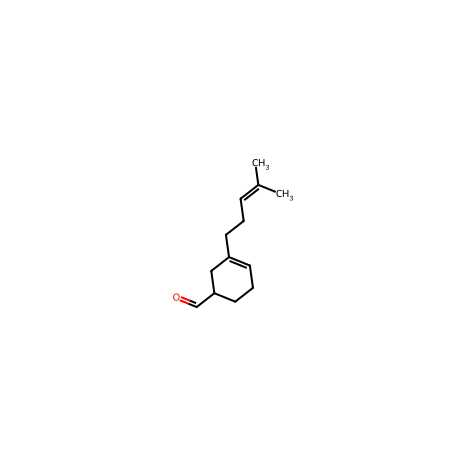 CC(C)=CCCC1=CCCC(C=O)C1